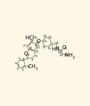 Cc1ccccc1C1CCc2cc(OC3CCC(CNC(=O)CN)CC3)ccc2O1.Cl